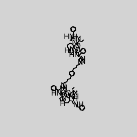 CC[C@H](NC)C(=O)N[C@@H]1C(=O)N2[C@@H](CC[C@@H]1CCNCc1ccccc1)CC[C@H]2C(=O)N[C@@H](c1ccccc1)c1cn(CCCCc2ccc(CCCCn3cc([C@@H](NC(=O)[C@@H]4CC[C@@H]5CC[C@H](CCNCc6ccccc6)[C@H](NC(=O)[C@H](CC)NC)C(=O)N54)c4ccccc4)nn3)cc2)nn1